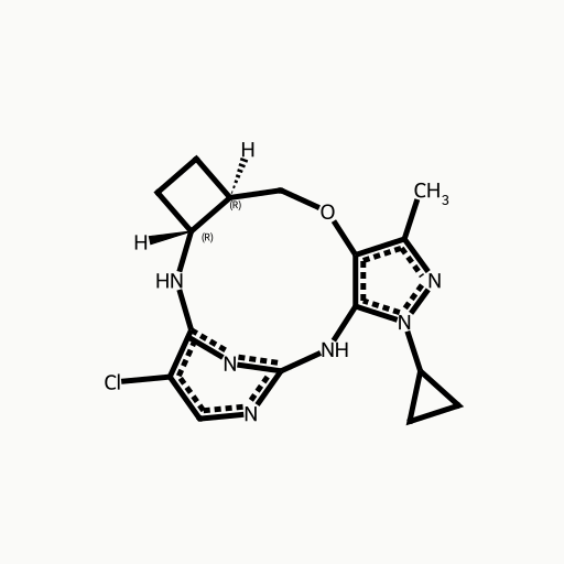 Cc1nn(C2CC2)c2c1OC[C@@H]1CC[C@H]1Nc1nc(ncc1Cl)N2